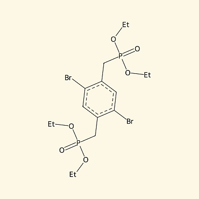 CCOP(=O)(Cc1cc(Br)c(CP(=O)(OCC)OCC)cc1Br)OCC